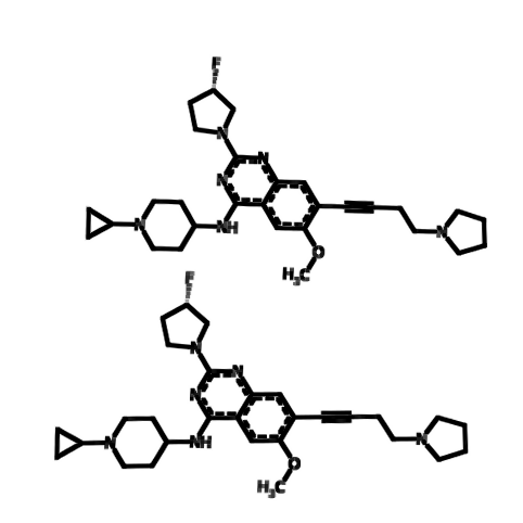 COc1cc2c(NC3CCN(C4CC4)CC3)nc(N3CC[C@H](F)C3)nc2cc1C#CCCN1CCCC1.COc1cc2c(NC3CCN(C4CC4)CC3)nc(N3CC[C@H](F)C3)nc2cc1C#CCCN1CCCC1